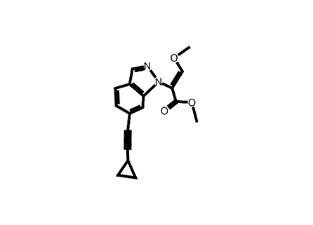 CO/C=C(/C(=O)OC)n1ncc2ccc(C#CC3CC3)cc21